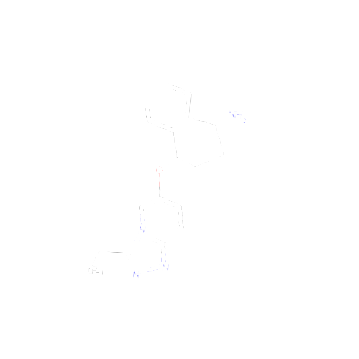 CC(C)(C)Cc1nnc2ccc(OC3CCC(N)c4ccccc43)cn12